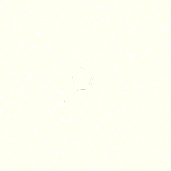 CCC(C)n1ccnc1.O=C(O)O